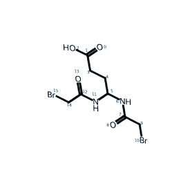 O=C(O)CCC(NC(=O)CBr)NC(=O)CBr